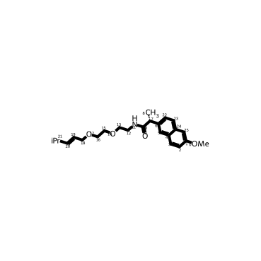 COc1ccc2cc([C@@H](C)C(=O)NCCOCCOC/C=C/C(C)C)ccc2c1